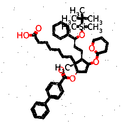 CC(C)(C)[Si](C)(C)O[C@@H](CC[C@H]1C(OC2CCCCO2)C[C@H](OC(=O)c2ccc(-c3ccccc3)cc2)[C@]1(C)CCCCCCC(=O)O)C1CCCCC1